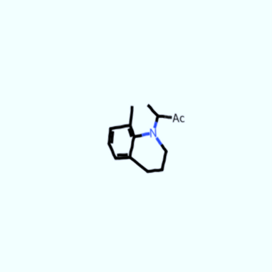 CC(=O)C(C)N1CCCc2cccc(C)c21